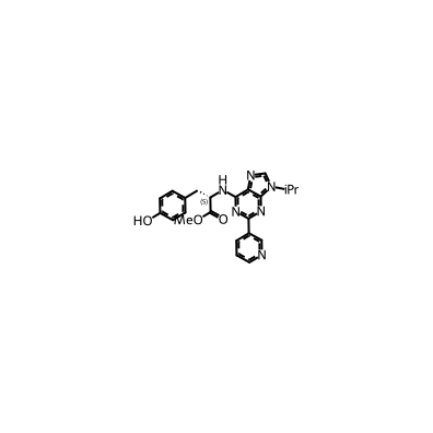 COC(=O)[C@H](Cc1ccc(O)cc1)Nc1nc(-c2cccnc2)nc2c1ncn2C(C)C